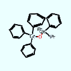 C[CH](C)[Ge]([O][Ge]([c]1ccccc1)([c]1ccccc1)[c]1ccccc1)([c]1ccccc1)[CH](C)C